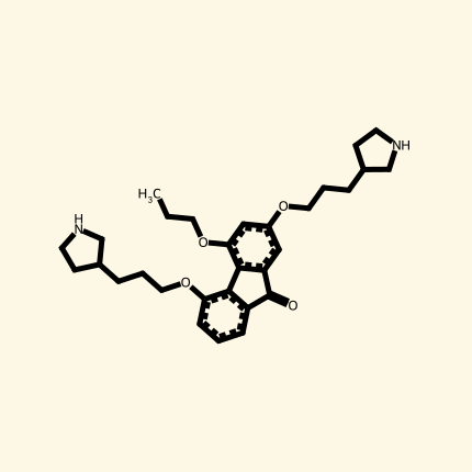 CCCOc1cc(OCCCC2CCNC2)cc2c1-c1c(OCCCC3CCNC3)cccc1C2=O